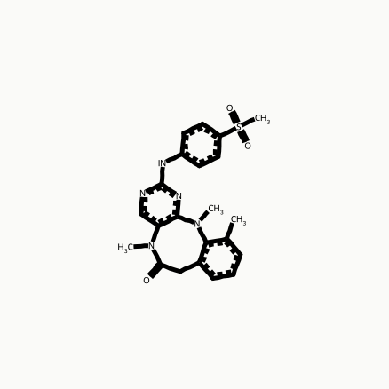 Cc1cccc2c1N(C)c1nc(Nc3ccc(S(C)(=O)=O)cc3)ncc1N(C)C(=O)C2